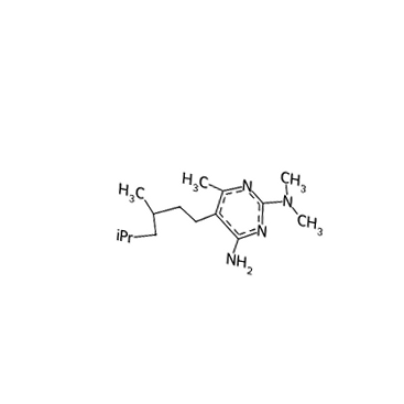 Cc1nc(N(C)C)nc(N)c1CCC(C)CC(C)C